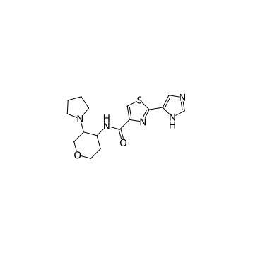 O=C(NC1CCOCC1N1CCCC1)c1csc(-c2cnc[nH]2)n1